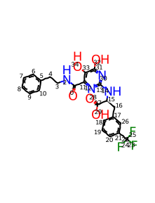 O=C(NCCc1ccccc1)c1nc(N[C@@H](Cc2cccc(C(F)(F)F)c2)C(=O)O)nc(O)c1O